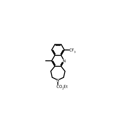 CCOC(=O)N1CCc2nc3c(C(F)(F)F)cccc3c(C)c2CC1